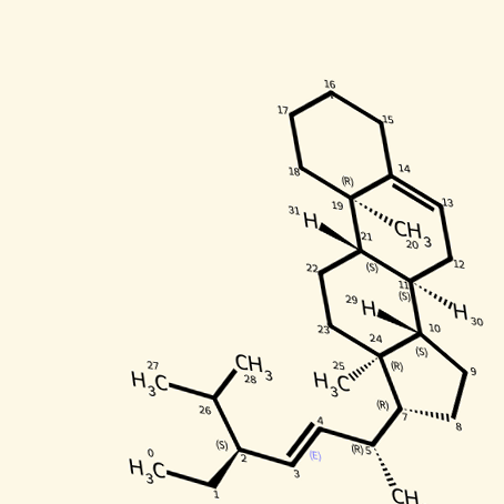 CC[C@H](/C=C/[C@@H](C)[C@H]1CC[C@H]2[C@@H]3CC=C4C[CH]CC[C@]4(C)[C@H]3CC[C@]12C)C(C)C